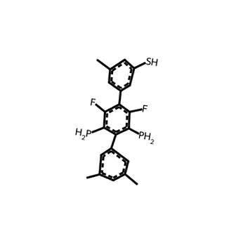 Cc1cc(S)cc(-c2c(F)c(P)c(-c3cc(C)cc(C)c3)c(P)c2F)c1